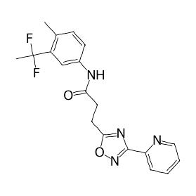 Cc1ccc(NC(=O)CCc2nc(-c3ccccn3)no2)cc1C(C)(F)F